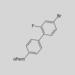 CCCCCc1ccc(-c2ccc(Br)cc2F)cc1